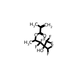 C=C(C)C(=O)OC(C)C(F)(F)C(O)(C(F)F)C(F)(F)F